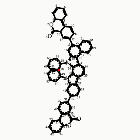 O=C1OC2C=CC=CC2=C2C=CC(c3cc4c(c5ccccc35)c3ccc5c6ccc(-c7ccc8c(c7)c(=O)oc7ccccc78)cc6n(-c6ccccc6)c5c3n4-c3ccccc3)=CC12